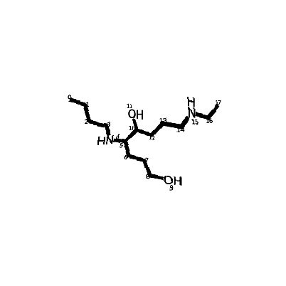 CCCCNC(CCCO)C(O)CCCNCC